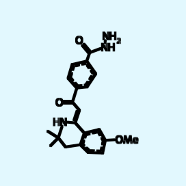 COc1ccc2c(c1)C(=CC(=O)c1ccc(C(=O)NN)cc1)NC(C)(C)C2